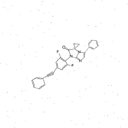 O=C1N(c2c(F)cc(C#Cc3ccccc3)cc2F)c2ncc(-c3ccccc3)n2C12CC2